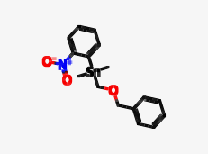 [CH3][Sn]([CH3])([CH2]OCc1ccccc1)[c]1ccccc1[N+](=O)[O-]